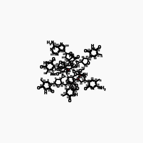 COP(=O)(S)OC1C[C@H](n2cc(C)c(=O)[nH]c2=O)O[C@@H]1COP(=O)(S)OC1C[C@H](n2cc(C)c(N)nc2=O)O[C@@H]1COP(=O)(S)OC1C[C@H](n2cc(C)c(=O)[nH]c2=O)O[C@@H]1COP(=O)(S)OC1C[C@H](n2cc(C)c(=O)[nH]c2=O)O[C@@H]1COP(=O)(S)OC1C[C@H](n2cc(C)c(=O)[nH]c2=O)O[C@@H]1COP(=O)(S)OC1C[C@H](n2cnc3c(N)ncnc32)O[C@@H]1C